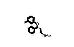 CNCC[C@H](Oc1cccc(I)c1)c1ccccc1